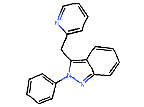 c1ccc(-n2nc3ccccc3c2Cc2ccccn2)cc1